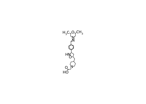 CC1CN(N=Cc2ccc(C3CC(CC4CCN(CC(=O)O)CC4)ON3)cc2)CC(C)O1